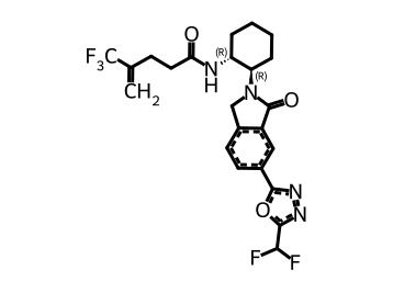 C=C(CCC(=O)N[C@@H]1CCCC[C@H]1N1Cc2ccc(-c3nnc(C(F)F)o3)cc2C1=O)C(F)(F)F